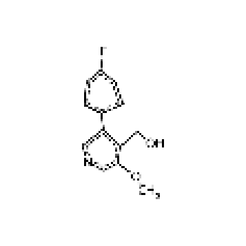 COc1cncc(-c2ccc(F)cc2)c1CO